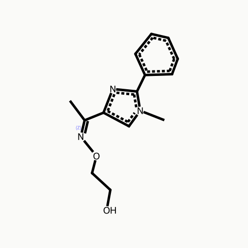 C/C(=N/OCCO)c1cn(C)c(-c2ccccc2)n1